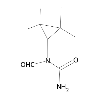 CC1(C)C(N(C=O)C(N)=O)C1(C)C